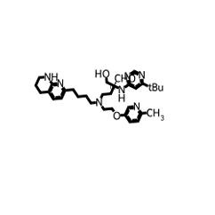 Cc1ccc(OCCN(CCCCc2ccc3c(n2)NCCC3)CC[C@@](C=O)(CO)Nc2cc(C(C)(C)C)ncn2)cn1